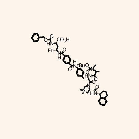 CC[C@H](C[C@H](NC(=O)OCc1ccccc1)C(=O)O)NC(=O)c1ccc(C(=O)Nc2ccc(C[C@H](NC(=O)[C@H](C)N(C)C(=O)OC(C)(C)C)C(=O)N3C[Si](C)(C)C[C@H]3C(=O)N[C@@H]3CCCc4ccccc43)cc2)cc1